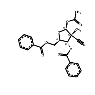 CC(=O)O[C@@H]1O[C@H](COC(=O)c2ccccc2)[C@@H](OC(=O)c2ccccc2)[C@@]1(C)C#N